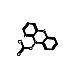 O=C(Cl)ON1c2ccccc2Sc2cccnc21